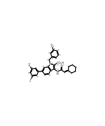 O=C(C=C1CCCCC1)Nc1c(C(=O)O)n(Cc2cccc(Cl)c2)c2cc(-c3cc(F)cc(F)c3)ccc12